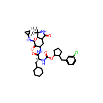 CC1(C)CC(CC(NC(=O)[C@H](CC2CCCCC2)NC(=O)OC2CCCC2Cc2cccc(Cl)c2)C(=O)C(=O)NC2CC2)C(=O)N1